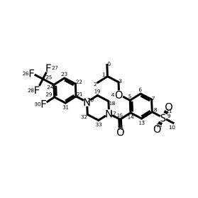 CC(C)COc1ccc(S(C)(=O)=O)cc1C(=O)N1CCN(c2ccc(C(F)(F)F)c(F)c2)CC1